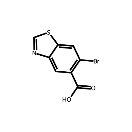 O=C(O)c1cc2ncsc2cc1Br